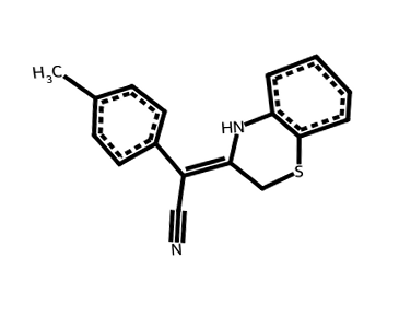 Cc1ccc(C(C#N)=C2CSc3ccccc3N2)cc1